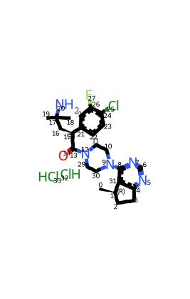 C[C@@H]1CCc2ncnc(N3CCN(C(=O)[C@@H](CC(C)(C)N)c4ccc(Cl)c(F)c4)CC3)c21.Cl.Cl